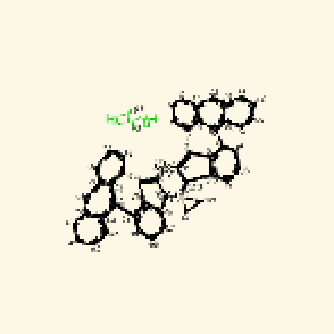 CC(C)C1=Cc2c(-c3c4ccccc4cc4ccccc34)cccc2[CH]1[Hf]1([CH]2C(C(C)C)=Cc3c(-c4c5ccccc5cc5ccccc45)cccc32)[CH2][CH2]1.Cl.Cl